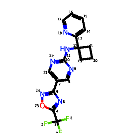 FC(F)(F)c1nc(-c2cnc(NC3(c4ccccn4)CCC3)nc2)no1